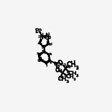 CCn1cc(-c2cccc(B3OC(C)(C)C(C)(C)O3)c2)cn1